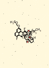 C#Cc1c(F)ccc2cc(OCOC)cc(-c3nc4c5c(nc(SCC)nc5c3F)N3C[C@H]5CC[C@@H]([C@H]3CC4)N5C(=O)OC(C)(C)C)c12